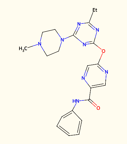 CCc1nc(Oc2cnc(C(=O)Nc3ccccc3)cn2)nc(N2CCN(C)CC2)n1